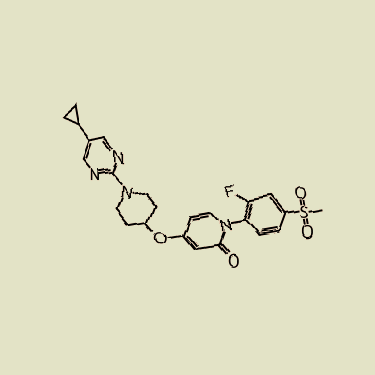 CS(=O)(=O)c1ccc(-n2ccc(OC3CCN(c4ncc(C5CC5)cn4)CC3)cc2=O)c(F)c1